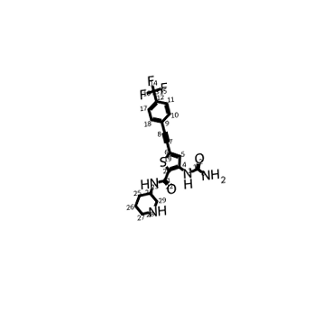 NC(=O)Nc1cc(C#Cc2ccc(C(F)(F)F)cc2)sc1C(=O)NC1CCCNC1